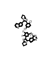 Clc1ccc(Cl)c(-c2nc3n(c2-c2ccc4ncccc4c2)CCC3)c1.Nc1ncnc2ccc(-c3c(-c4cc(F)cc(F)c4F)nc4n3CCC4)cc12